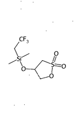 C[Si](C)(CC(F)(F)F)OC1COS(=O)(=O)C1